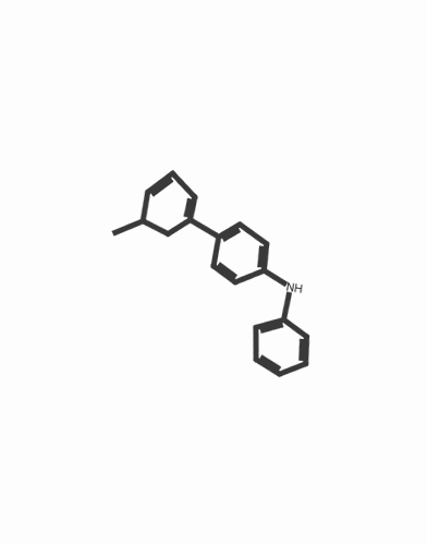 CC1C=CC=C(c2ccc(Nc3ccccc3)cc2)C1